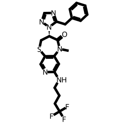 CN1C(=O)[C@@H](n2ncnc2Cc2ccccc2)CSc2cnc(NCCCC(F)(F)F)cc21